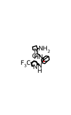 NC1CCCN1C(=O)CNC12CC3CC(C1)CC(Nc1ccc(C(F)(F)F)cn1)(C3)C2